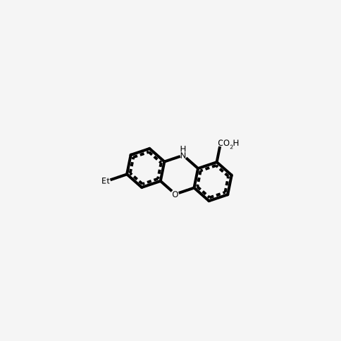 CCc1ccc2c(c1)Oc1cccc(C(=O)O)c1N2